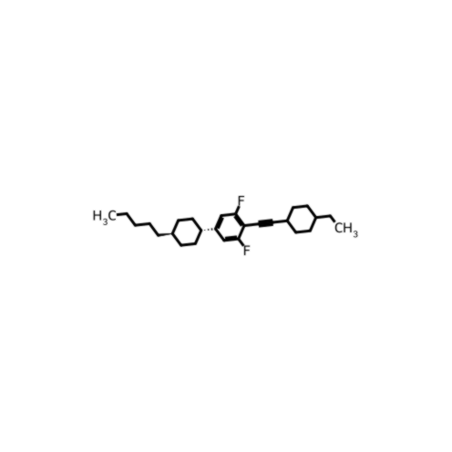 CCCCC[C@H]1CC[C@H](c2cc(F)c(C#CC3CCC(CC)CC3)c(F)c2)CC1